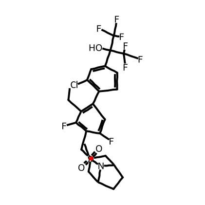 CCc1c(-c2ccc(C(O)(C(F)(F)F)C(F)(F)F)cc2Cl)cc(F)c(CN2CC3CCC(C2)N3S(C)(=O)=O)c1F